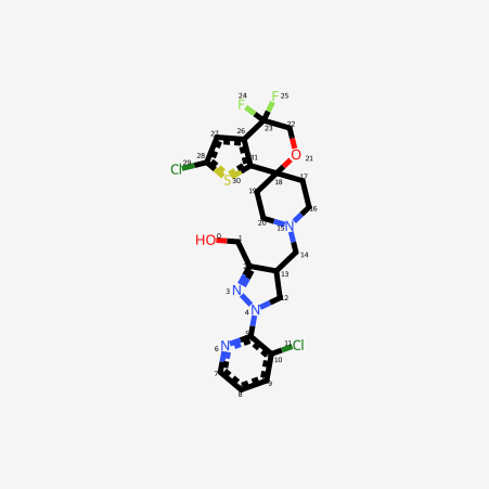 OCC1=NN(c2ncccc2Cl)CC1CN1CCC2(CC1)OCC(F)(F)c1cc(Cl)sc12